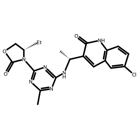 CC[C@H]1COC(=O)N1c1nc(C)nc(N[C@H](C)c2cc3cc(Cl)ccc3[nH]c2=O)n1